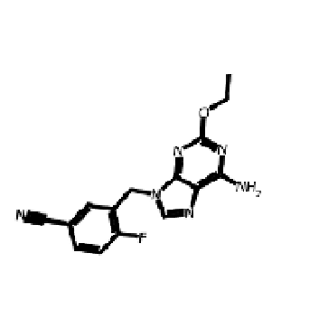 CCOc1nc(N)c2ncn(Cc3cc(C#N)ccc3F)c2n1